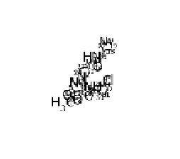 CS(=O)(=O)c1cnc(N2CCC(CC(=O)NCc3cccnc3)CC2)c(NC(=O)c2cccc(Cl)c2)c1